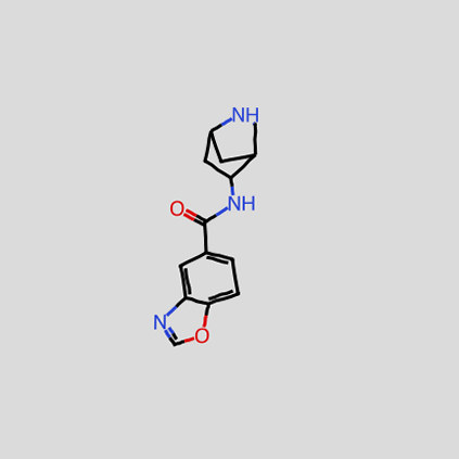 O=C(NC1CC2CC1CN2)c1ccc2ocnc2c1